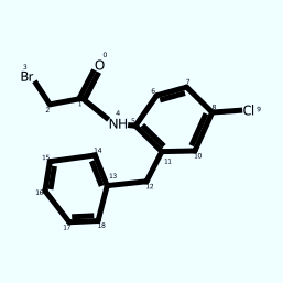 O=C(CBr)Nc1ccc(Cl)cc1Cc1ccccc1